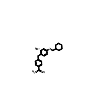 Cl.N=C(N)c1ccc(Cc2ccc(OCC3CCCCC3)cc2)cc1